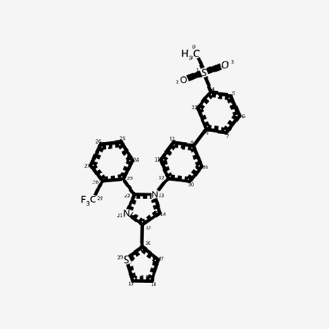 CS(=O)(=O)c1cccc(-c2ccc(-n3cc(-c4cccs4)nc3-c3ccccc3C(F)(F)F)cc2)c1